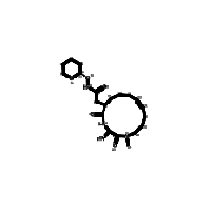 CCCC1NC(=O)C(CC(=O)NO[C@H]2CCCCO2)CCCC=CCCCN(C)C1=O